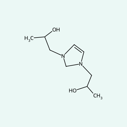 CC(O)CN1C=CN(CC(C)O)C1